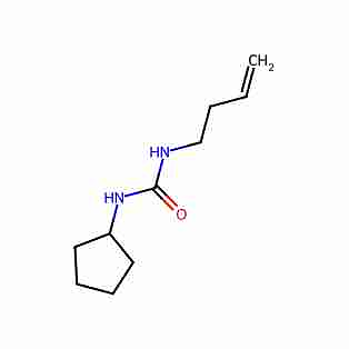 C=CCCNC(=O)NC1CCCC1